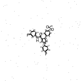 CS(=O)(=O)c1ccc(-c2nn(-c3ccc(F)cc3)cc2C(=O)Nc2cccc(F)c2)cc1